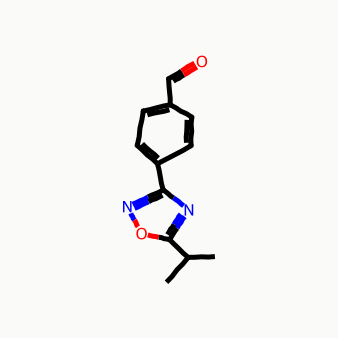 CC(C)c1nc(-c2ccc(C=O)cc2)no1